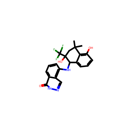 CC1(C)CC(O)(C(F)(F)F)C(Nc2cccc3c(=O)[nH]ncc23)c2cccc(O)c21